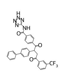 O=C(CC(C(=O)c1ccc(C(=O)Nc2nn[nH]n2)cc1)c1ccc(-c2ccccc2)cc1)c1cccc(C(F)(F)F)c1